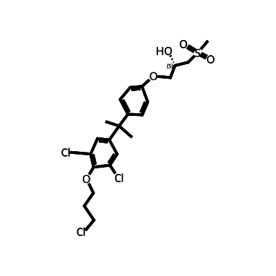 CC(C)(c1ccc(OC[C@H](O)CS(C)(=O)=O)cc1)c1cc(Cl)c(OCCCCl)c(Cl)c1